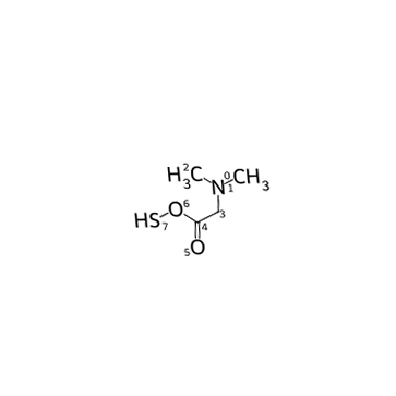 CN(C)CC(=O)OS